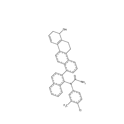 NC(=O)N(c1ccc(Cl)c(C(F)(F)F)c1)c1c(-c2cccc3c4c(ccc23)C2=C(CC4)C(O)CC=C2)ccc2ccccc12